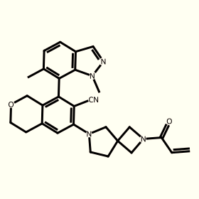 C=CC(=O)N1CC2(CCN(c3cc4c(c(-c5c(C)ccc6cnn(C)c56)c3C#N)COCC4)C2)C1